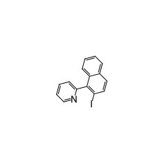 Ic1ccc2ccccc2c1-c1ccccn1